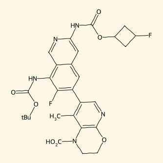 Cc1c(-c2cc3cc(NC(=O)OC4CC(F)C4)ncc3c(NC(=O)OC(C)(C)C)c2F)cnc2c1N(C(=O)O)CCO2